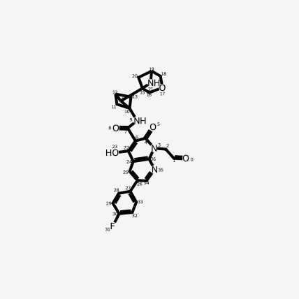 O=CCn1c(=O)c(C(=O)NC23CC(C2)C3C23COCC(C2)N3)c(O)c2cc(-c3ccc(F)cc3)cnc21